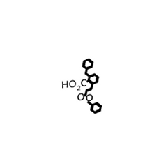 O=C(C=Cc1cccc(Cc2ccccc2)c1C(=O)O)OCc1ccccc1